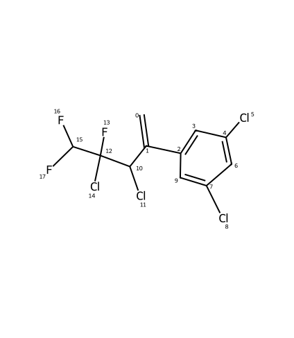 C=C(c1cc(Cl)cc(Cl)c1)C(Cl)C(F)(Cl)C(F)F